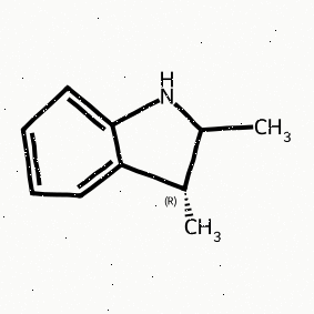 CC1Nc2ccccc2[C@H]1C